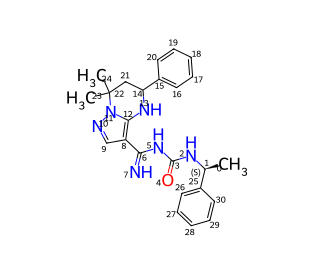 C[C@H](NC(=O)NC(=N)c1cnn2c1NC(c1ccccc1)CC2(C)C)c1ccccc1